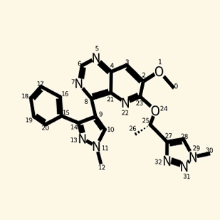 COc1cc2ncnc(-c3cn(C)nc3-c3ccccc3)c2nc1O[C@@H](C)c1cn(C)nn1